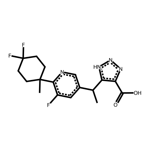 CC(c1cnc(C2(C)CCC(F)(F)CC2)c(F)c1)c1[nH]nnc1C(=O)O